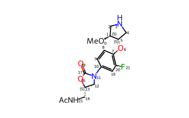 CO[C@H]1CNC[C@@H]1Oc1ccc(N2C[C@H](CNC(C)=O)OC2=O)cc1F